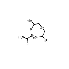 CCCCC(CC)[CH2][Zn][CH2]C(CC)CCCC.NC(=S)S